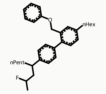 CCCCCCc1ccc(-c2ccc(C(CCCCC)CC(C)F)cc2)c(COc2ccccc2)c1